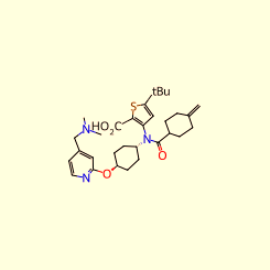 C=C1CCC(C(=O)N(c2cc(C(C)(C)C)sc2C(=O)O)[C@H]2CC[C@H](Oc3cc(CN(C)C)ccn3)CC2)CC1